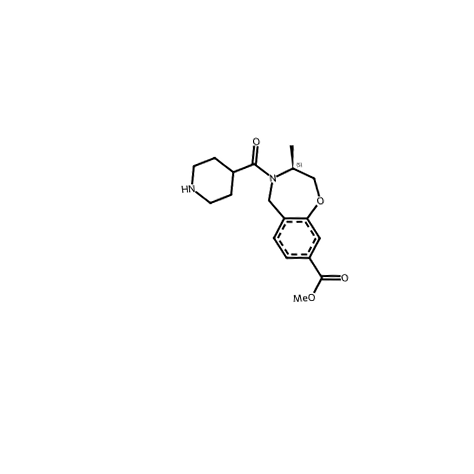 COC(=O)c1ccc2c(c1)OC[C@H](C)N(C(=O)C1CCNCC1)C2